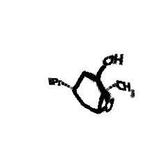 CC(C)[C@@H]1CC(O)[C@@]2(C)OC2C1